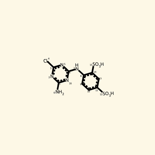 Nc1nc(Cl)nc(Nc2ccc(S(=O)(=O)O)cc2S(=O)(=O)O)n1